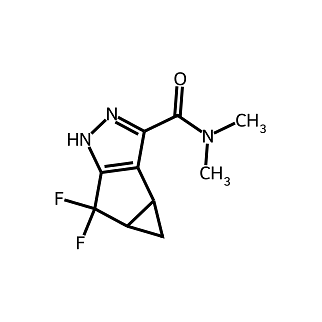 CN(C)C(=O)c1n[nH]c2c1C1CC1C2(F)F